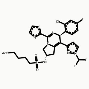 CC(=O)OCCCCS(=O)(=O)N[C@H]1CC2=C(c3ccn(C(F)F)n3)[C@H](c3ccc(F)cc3Cl)N=C(c3nccs3)N2C1